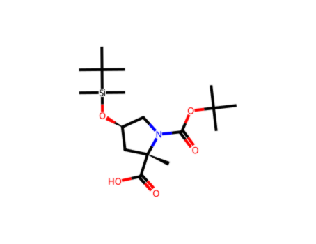 CC(C)(C)OC(=O)N1C[C@H](O[Si](C)(C)C(C)(C)C)C[C@@]1(C)C(=O)O